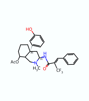 CC(=O)OC1CCC[C@@]2(c3cccc(O)c3)C[C@@H](NC(=O)C(=Cc3ccccc3)C(F)(F)F)N(C)CC12